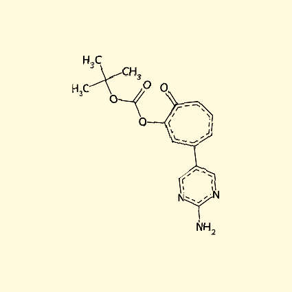 CC(C)(C)OC(=O)Oc1cc(-c2cnc(N)nc2)cccc1=O